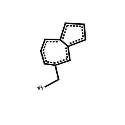 C[C](C)Cc1cccc2cccc-2c1